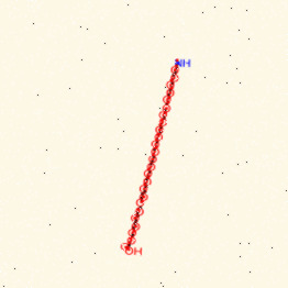 CNCCOCCOCCOCCOCCOCCOCCOCCOCCOCCOCCOCCOCCOCCOCCOCCOCCOCCOCCOCCOCCOCCOCCOCCOCCC(=O)O